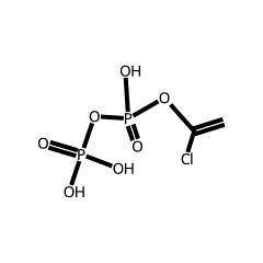 C=C(Cl)OP(=O)(O)OP(=O)(O)O